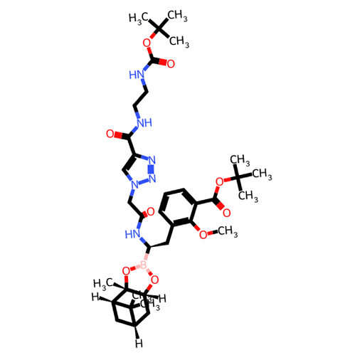 COc1c(C[C@H](NC(=O)Cn2cc(C(=O)NCCNC(=O)OC(C)(C)C)nn2)B2O[C@@H]3C[C@@H]4C[C@@H](C4(C)C)[C@]3(C)O2)cccc1C(=O)OC(C)(C)C